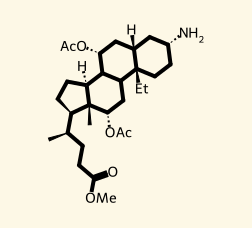 CC[C@]12CC[C@@H](N)C[C@H]1C[C@@H](OC(C)=O)C1C2C[C@H](OC(C)=O)[C@]2(C)[C@@H]([C@H](C)CCC(=O)OC)CC[C@@H]12